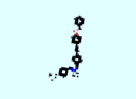 CCN(Cc1ccc(C#Cc2ccc(OCc3ccccc3)cc2)cc1)Cc1ccc(C(F)(F)F)cc1